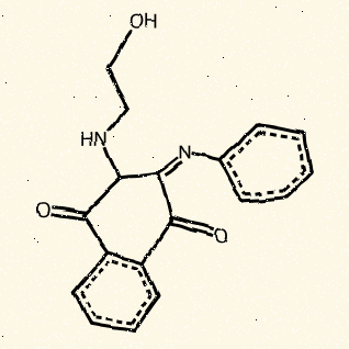 O=C1C(=Nc2ccccc2)C(NCCO)C(=O)c2ccccc21